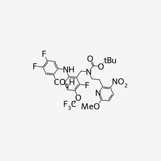 COc1ccc([N+](=O)[O-])c(CCN(Cc2c(Nc3cc(F)c(F)cc3C(=O)O)ccc(OC(F)(F)F)c2F)C(=O)OC(C)(C)C)n1